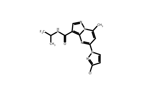 Cc1cc(-n2ccc(Cl)n2)nc2c(C(=O)NC(C)C(F)(F)F)cnn12